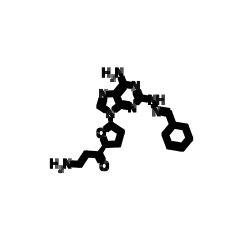 NCCC(=O)[C@@H]1CC[C@H](n2cnc3c(N)nc(N/N=C/C4CC=CCC4)nc32)O1